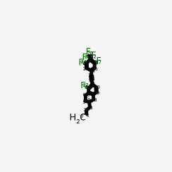 C=CCCC1CCc2c(ccc(C#Cc3cc(F)c(C(F)(F)F)c(F)c3)c2F)C1